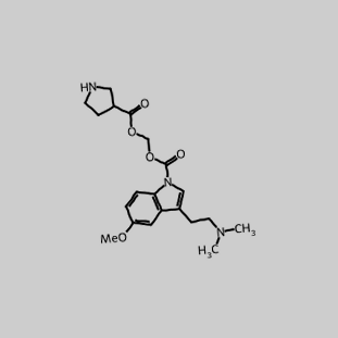 COc1ccc2c(c1)c(CCN(C)C)cn2C(=O)OCOC(=O)C1CCNC1